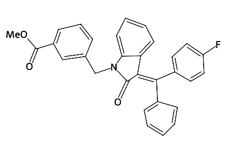 COC(=O)c1cccc(CN2C(=O)/C(=C(\c3ccccc3)c3ccc(F)cc3)c3ccccc32)c1